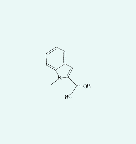 Cn1c(C(O)C#N)cc2ccccc21